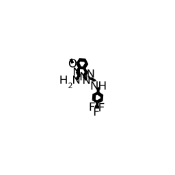 COc1cccc2c1nc(N)n1nc(CNCc3ccc(C(F)(F)F)cc3)nc21